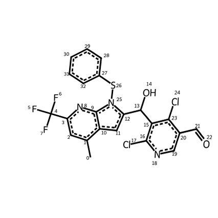 Cc1cc(C(F)(F)F)nc2c1cc(C(O)c1c(Cl)ncc(C=O)c1Cl)n2Sc1ccccc1